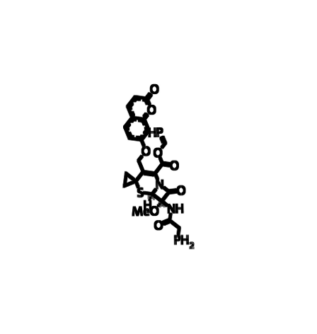 CO[C@@]1(NC(=O)CP)C(=O)N2C(C(=O)OC=P)=C(COc3ccc4ccc(=O)oc4c3)C3(CC3)S[C@@H]21